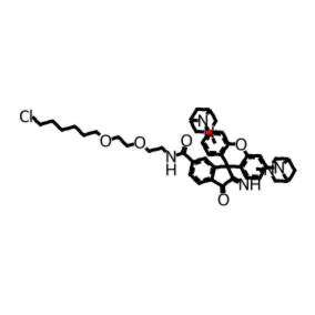 CN1CC2CC(C1)N2c1ccc2c(c1)Oc1cc(N3C4CC3CN(C)C4)ccc1C21C(=N)C(=O)c2ccc(C(=O)NCCOCCOCCCCCCCl)cc21